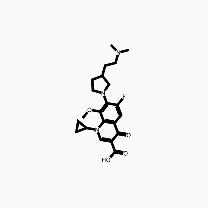 COc1c(N2CCC(CCN(C)C)C2)c(F)cc2c(=O)c(C(=O)O)cn(C3CC3)c12